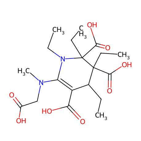 CCC1C(C(=O)O)=C(N(C)CC(=O)O)N(CC)C(CC)(C(=O)O)C1(CC)C(=O)O